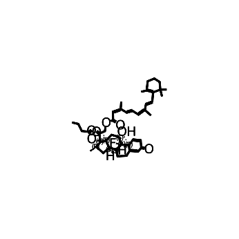 CCCC(=O)O[C@@]1(C(=O)COC(=O)C=C(C)C=CC=C(C)C=CC2=C(C)CCCC2(C)C)[C@H](C)C[C@H]2[C@@H]3CCC4=CC(=O)C=C[C@]4(C)[C@@]3(F)[C@@H](O)C[C@@]21C